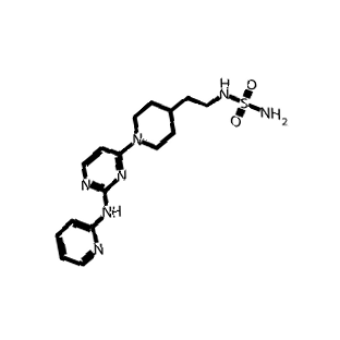 NS(=O)(=O)NCCC1CCN(c2ccnc(Nc3ccccn3)n2)CC1